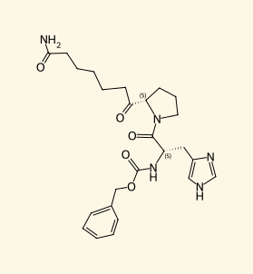 NC(=O)CCCCCC(=O)[C@@H]1CCCN1C(=O)[C@H](Cc1c[nH]cn1)NC(=O)OCc1ccccc1